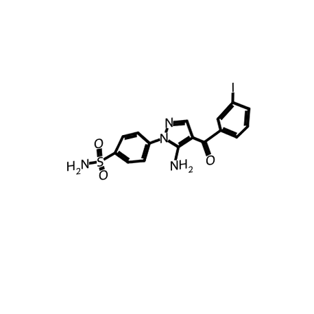 Nc1c(C(=O)c2cccc(I)c2)cnn1-c1ccc(S(N)(=O)=O)cc1